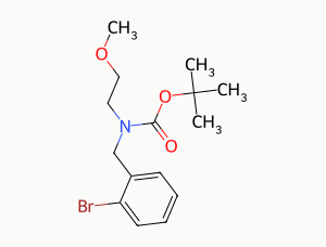 COCCN(Cc1ccccc1Br)C(=O)OC(C)(C)C